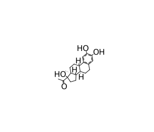 CC(=O)[C@@]1(O)CC[C@H]2[C@@H]3CCc4cc(O)c(O)cc4[C@H]3CC[C@@]21C